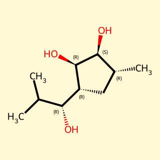 CC(C)[C@@H](O)[C@H]1C[C@@H](C)[C@H](O)[C@@H]1O